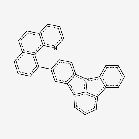 c1cnc2c(c1)ccc1cccc(-c3ccc4c(c3)c3cccc5c6ccccc6n4c53)c12